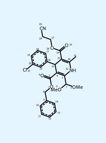 COC(OC)C1=C(C(=O)OCc2ccccc2)C(c2cccc(Cl)c2)C(C(=O)OCCC#N)=C(C)N1